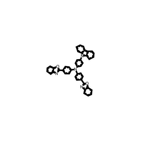 c1ccc2oc(-c3ccc(N(c4ccc(-c5nc6ccccc6o5)cc4)c4ccc(-n5c6ccccc6c6ccccc65)cc4)cc3)nc2c1